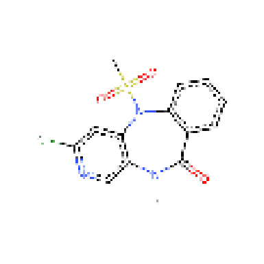 CN1C(=O)c2ccccc2N(S(C)(=O)=O)c2cc(Cl)ncc21